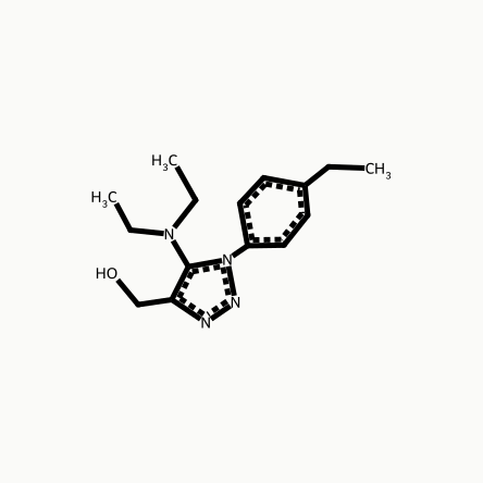 CCc1ccc(-n2nnc(CO)c2N(CC)CC)cc1